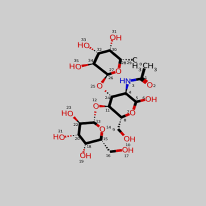 CC(=O)N[C@H]1C(O)O[C@H](CO)[C@@H](O[C@@H]2O[C@H](CO)[C@H](O)[C@H](O)[C@H]2O)[C@@H]1O[C@@H]1O[C@@H](C)[C@@H](O)[C@@H](O)[C@@H]1O